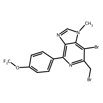 Cn1cnc2c(-c3ccc(OC(F)(F)F)cc3)nc(CBr)c(Br)c21